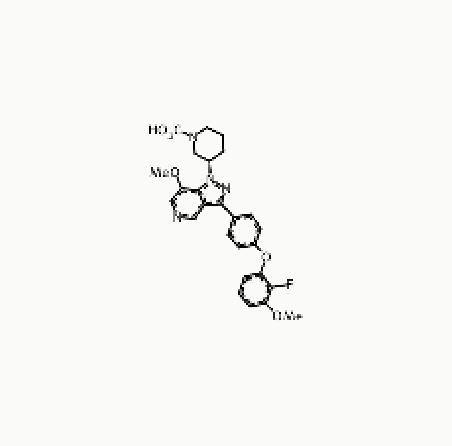 COc1cccc(Oc2ccc(-c3nn([C@@H]4CCCN(C(=O)O)C4)c4c(OC)cncc34)cc2)c1F